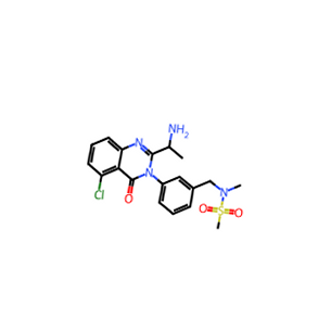 CC(N)c1nc2cccc(Cl)c2c(=O)n1-c1cccc(CN(C)S(C)(=O)=O)c1